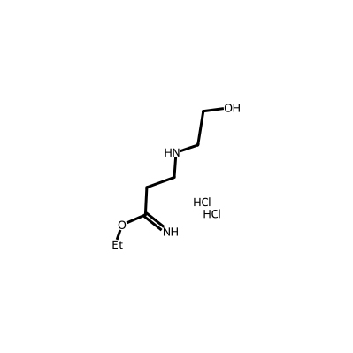 CCOC(=N)CCNCCO.Cl.Cl